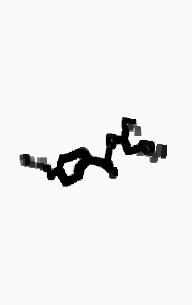 CC(C)(C)Oc1ccc(C(=O)OC(CS(=O)(=O)O)C(F)(F)F)cc1